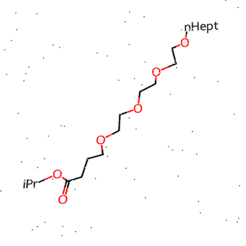 CCCCCCCOCCOCCOCCOCCCC(=O)OC(C)C